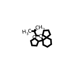 C=C(C)C(=O)OC1(C2CCCC2)CCCCC12CCCC2